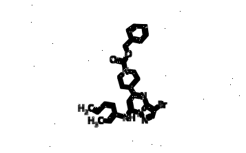 C=C/C=C\C(=C/C)Nc1cc(C2CCN(C(=O)OCc3ccccc3)CC2)nc2c(Br)cnn12